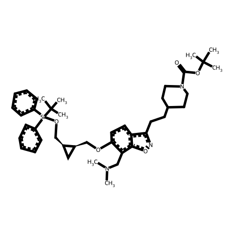 CN(C)Cc1c(OC[C@H]2C[C@H]2CO[Si](c2ccccc2)(c2ccccc2)C(C)(C)C)ccc2c(CCC3CCN(C(=O)OC(C)(C)C)CC3)noc12